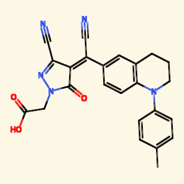 Cc1ccc(N2CCCc3cc(/C(C#N)=C4\C(=O)N(CC(=O)O)N=C4C#N)ccc32)cc1